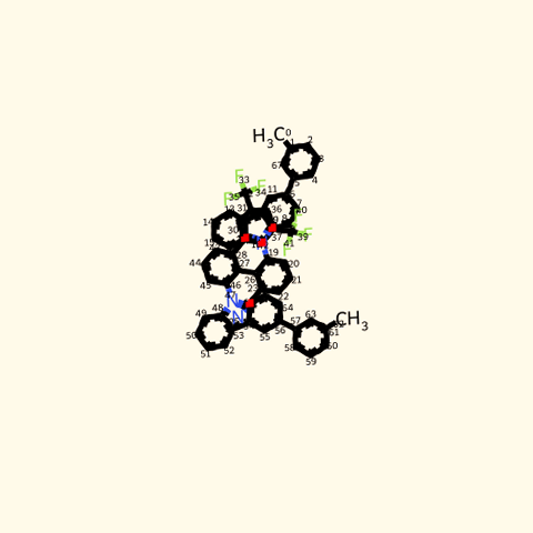 Cc1cccc(-c2ccc3c(c2)c2ccccc2n3-c2cccc(C#N)c2-c2c(-c3cc(C(F)(F)F)cc(C(F)(F)F)c3)cccc2-n2c3ccccc3c3cc(-c4cccc(C)c4)ccc32)c1